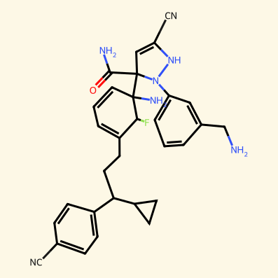 N#CC1=CC(C(N)=O)(C2(N)C=CC=C(CCC(c3ccc(C#N)cc3)C3CC3)C2F)N(c2cccc(CN)c2)N1